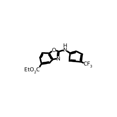 CCOC(=O)c1ccc2oc(Nc3ccc(C(F)(F)F)cc3)nc2c1